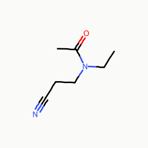 CCN(CCC#N)C(C)=O